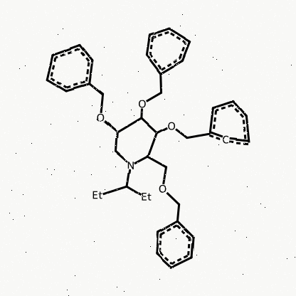 CCC(CC)N1CC(OCc2ccccc2)C(OCc2ccccc2)C(OCc2ccccc2)C1COCc1ccccc1